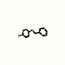 Fc1ccc(/N=C/c2ccccc2)cc1